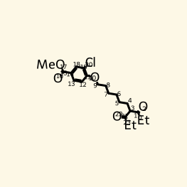 CCC(=O)C(CCCCCCOc1ccc(C(=O)OC)cc1Cl)C(=O)CC